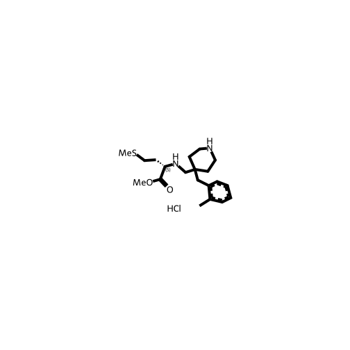 COC(=O)[C@H](CCSC)NCC1(Cc2ccccc2C)CCNCC1.Cl